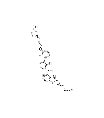 Cc1c(OCCCN2CCC(O)C2)cccc1-c1cccc(Nc2nccc3sc(CNCC(=O)O)nc23)c1Cl